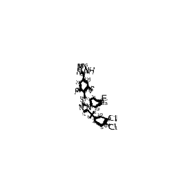 CC(C)(c1ccc(Cl)c(Cl)c1)c1cnc(SCc2c(F)cc(-c3nnn[nH]3)cc2F)n1-c1ccc(F)cc1